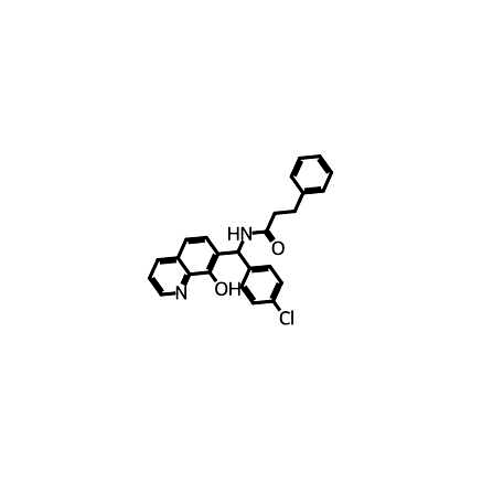 O=C(CCc1ccccc1)NC(c1ccc(Cl)cc1)c1ccc2cccnc2c1O